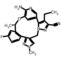 CCc1c(C#N)nn2c1-c1cnc(N)c(c1)O[C@H](C)c1cc(F)ccc1-c1nn(C)cc1C2